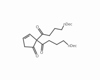 CCCCCCCCCCCCCC(=O)C1(C(=O)CCCCCCCCCCCCC)C=CCC1=O